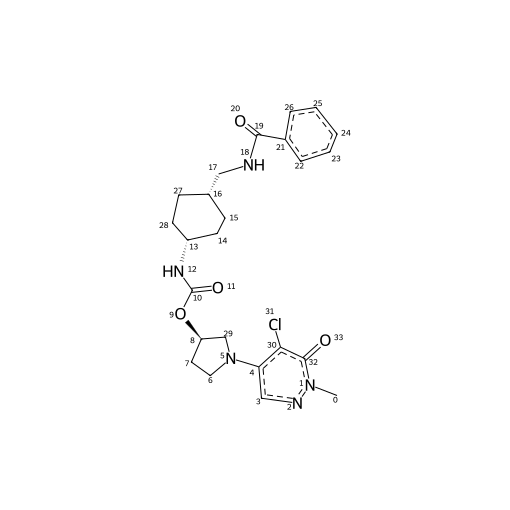 Cn1ncc(N2CC[C@@H](OC(=O)N[C@H]3CC[C@@H](CNC(=O)c4ccccc4)CC3)C2)c(Cl)c1=O